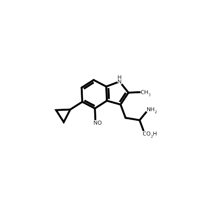 Cc1[nH]c2ccc(C3CC3)c(N=O)c2c1CC(N)C(=O)O